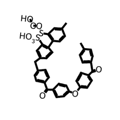 Cc1ccc(C(=O)c2ccc(Oc3ccc(C(=O)c4ccc(Cc5ccc(-c6ccc(C)cc6SOOO)c(S(=O)(=O)O)c5)cc4)cc3)cc2)cc1